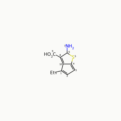 CCC1=CC=C2SC(N)C(C(=O)O)=C12